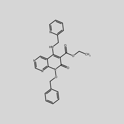 CCOC(=O)c1c(NCc2ccccn2)c2cncnc2n(OCc2ccccc2)c1=O